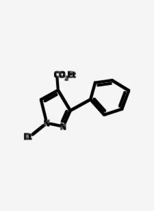 CCOC(=O)c1cn(CC)nc1-c1ccccc1